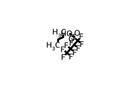 CCCC.O=S(=O)(O)C(F)(F)C(F)(F)C(F)(F)C(F)(F)F